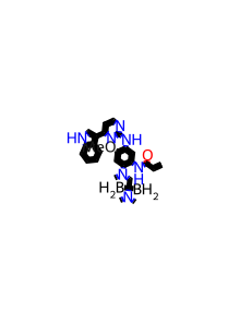 BC(B)(CN(C)c1cc(OC)c(Nc2nccc(-c3c[nH]c4ccccc34)n2)cc1NC(=O)C=C)N(C)C